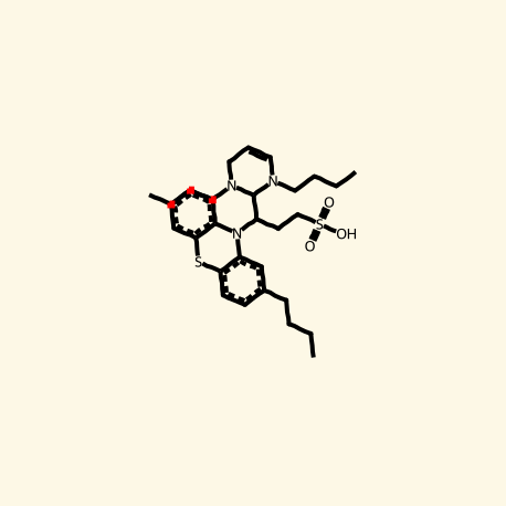 CCCCc1ccc2c(c1)N(C(CCS(=O)(=O)O)C1N(CCCC)C=CCN1CCCC)c1ccccc1S2